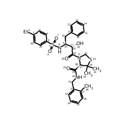 CCc1ccc(S(=O)(=O)N[C@@H](Cc2ccccc2)[C@H](O)C(=O)N2CSC(C)(C)[C@H]2C(=O)NCc2ccccc2C)cc1